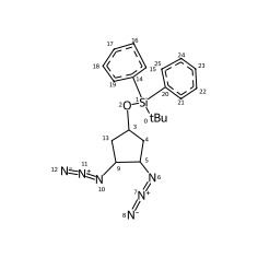 CC(C)(C)[Si](OC1CC(N=[N+]=[N-])C(N=[N+]=[N-])C1)(c1ccccc1)c1ccccc1